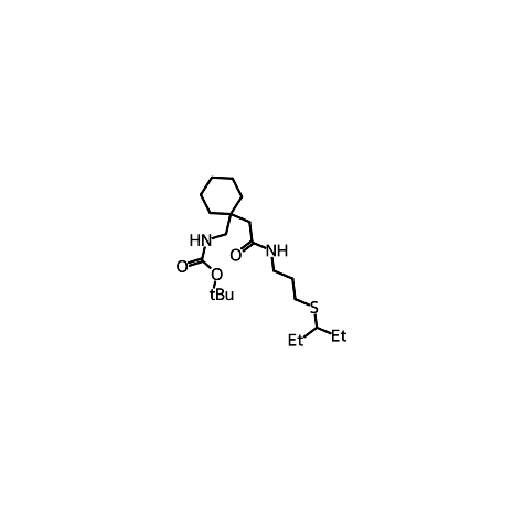 CCC(CC)SCCCNC(=O)CC1(CNC(=O)OC(C)(C)C)CCCCC1